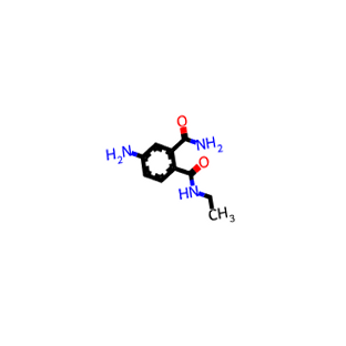 CCNC(=O)c1ccc(N)cc1C(N)=O